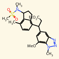 CCOC(=O)CC(c1cc(OC)c2c(c1)nnn2C)c1ccc(C)c2c1CCC2N(C)S(C)(=O)=O